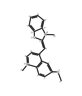 COc1ccc2c(c1)c(/C=C1\Oc3ccccc3N1C)cc[n+]2C